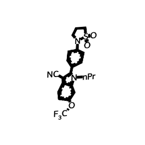 CCCn1c(-c2ccc(N3CCCS3(=O)=O)cc2)c(C#N)c2ccc(OC(F)(F)F)cc21